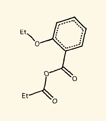 CCOc1ccccc1C(=O)OC(=O)CC